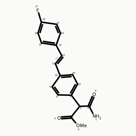 COC(=O)C(C(N)=O)c1ccc(/C=C/c2ccc(F)cc2)cc1